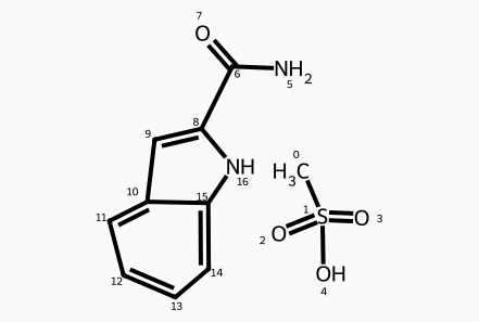 CS(=O)(=O)O.NC(=O)c1cc2ccccc2[nH]1